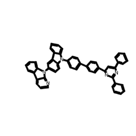 c1ccc(-c2cc(-c3ccc(-c4ccc(-n5c6ccccc6c6cc(-n7c8ccccc8c8cccnc87)ccc65)cc4)cc3)nc(-c3ccccc3)n2)cc1